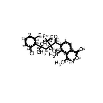 Cc1noc(=O)c2ccc(C(=O)C(O)(CC(C)(C)c3c(F)cccc3Cl)C(F)(F)F)c(N)c12